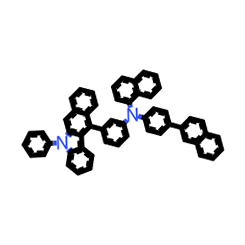 c1ccc(-n2c3ccccc3c3c(-c4cccc(N(c5ccc(-c6ccc7ccccc7c6)cc5)c5cccc6ccccc56)c4)c4ccccc4cc32)cc1